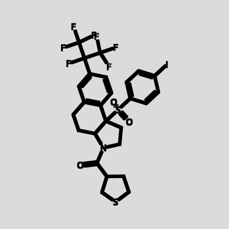 O=C(C1CCSC1)N1CCC2(S(=O)(=O)c3ccc(I)cc3)c3ccc(C(F)(C(F)(F)F)C(F)(F)F)cc3CCC12